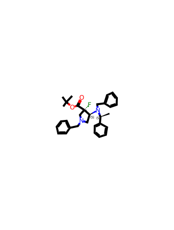 C[C@@H](c1ccccc1)N(Cc1ccccc1)[C@H]1CN(Cc2ccccc2)C[C@@]1(F)C(=O)OC(C)(C)C